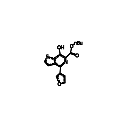 CCCCOC(=O)c1nc(-c2ccoc2)c2ccsc2c1O